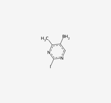 Bc1cnc(I)nc1C